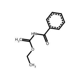 C=C(NC(=O)c1ccccc1)OCC